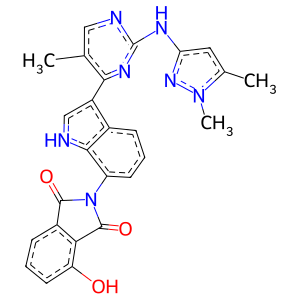 Cc1cnc(Nc2cc(C)n(C)n2)nc1-c1c[nH]c2c(N3C(=O)c4cccc(O)c4C3=O)cccc12